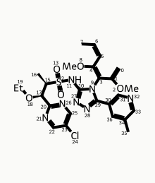 C=C(OC)/C(=C(\C=C/C)OC)n1c(NS(=O)(=O)[C@H](C)[C@H](OCC)c2ncc(Cl)cn2)nnc1-c1cncc(C)c1